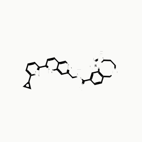 O=C(NCc1cc2nc(-c3cccc(C4CC4)n3)ccc2cn1)c1ccc2c(c1)S(=O)(=O)[C@@H](F)CCOC2